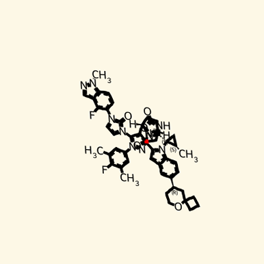 Cc1cc(-n2nc3c(c2-n2ccn(-c4ccc5c(cnn5C)c4F)c2=O)[C@@H]2CC[C@H](C3)N2C(=O)c2cc3cc([C@@H]4CCOC5(CCC5)C4)ccc3n2[C@@]2(c3noc(=O)[nH]3)C[C@@H]2C)cc(C)c1F